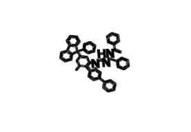 C=C(NC(/N=C/n1c2c(c3ccc(-c4ccccc4)cc31)C(C)CC(C1(c3ccccc3)c3ccccc3-c3ccccc31)=C2)c1ccccc1)c1ccccc1